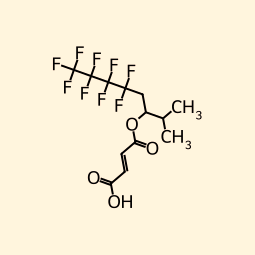 CC(C)C(CC(F)(F)C(F)(F)C(F)(F)C(F)(F)F)OC(=O)C=CC(=O)O